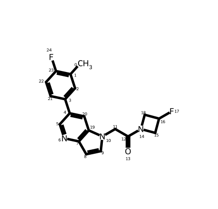 Cc1cc(-c2cnc3ccn(CC(=O)N4CC(F)C4)c3c2)ccc1F